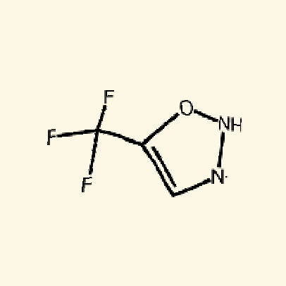 FC(F)(F)C1=C[N]NO1